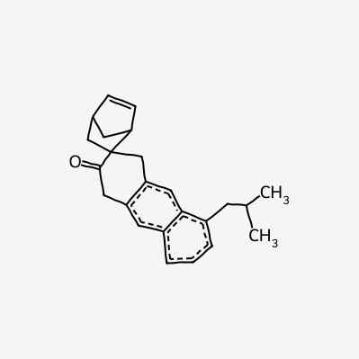 CC(C)Cc1cccc2cc3c(cc12)CC1(CC2C=CC1C2)C(=O)C3